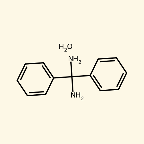 NC(N)(c1ccccc1)c1ccccc1.O